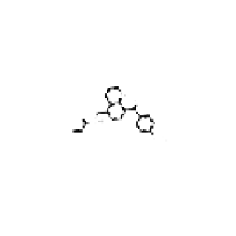 C=CC(=O)NCc1ccc(C(=O)c2ccc(C(F)(F)F)cc2)c2ncccc12